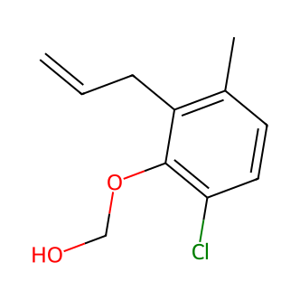 C=CCc1c(C)ccc(Cl)c1OCO